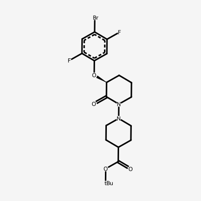 CC(C)(C)OC(=O)C1CCN(N2CCC[C@H](Oc3cc(F)c(Br)cc3F)C2=O)CC1